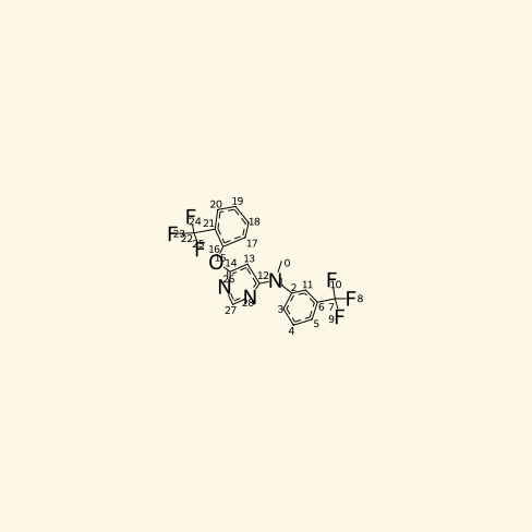 CN(c1cccc(C(F)(F)F)c1)c1cc(Oc2ccccc2C(F)(F)F)ncn1